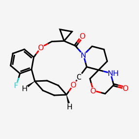 O=C1COCC2(CCCN3C(=O)C4(CC4)COc4cccc(F)c4[C@H]4CC[C@H](CC4)OCC32)N1